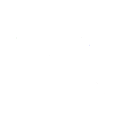 O=C1c2cc(C(=O)N3CCC(C[SH](=O)=O)CC3)ccc2C(=O)c2c(Cl)cccc21